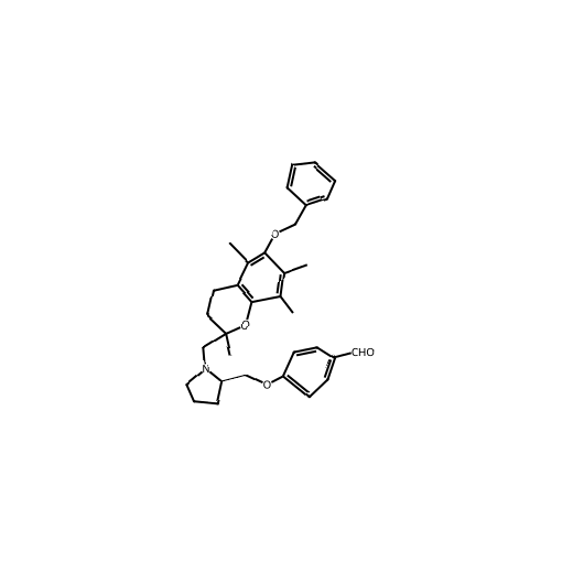 Cc1c(C)c2c(c(C)c1OCc1ccccc1)CCC(C)(CN1CCCC1COc1ccc(C=O)cc1)O2